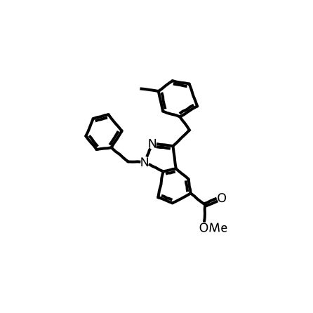 COC(=O)c1ccc2c(c1)c(Cc1cccc(C)c1)nn2Cc1ccccc1